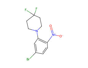 O=[N+]([O-])c1ccc(Br)cc1N1CCC(F)(F)CC1